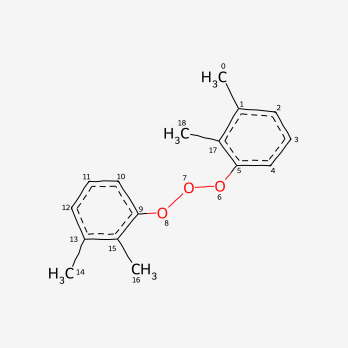 Cc1cccc(OOOc2cccc(C)c2C)c1C